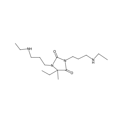 CCNCCCN1C(=O)N(CCCNCC)C(C)(CC)C1=O